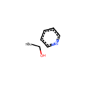 CCCCCO.c1ccncc1